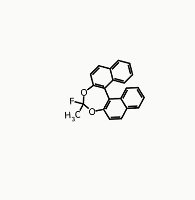 CC1(F)Oc2ccc3ccccc3c2-c2c(ccc3ccccc23)O1